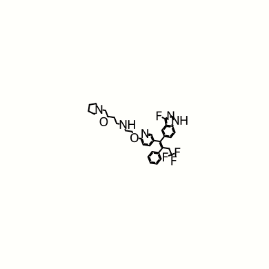 O=C(CCNCCOc1ccc(/C(=C(/CC(F)(F)F)c2ccccc2)c2ccc3[nH]nc(F)c3c2)cn1)CN1CCCC1